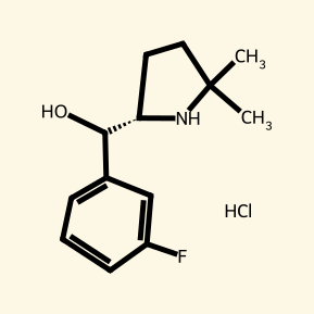 CC1(C)CC[C@@H](C(O)c2cccc(F)c2)N1.Cl